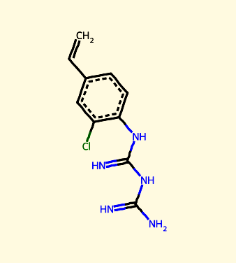 C=Cc1ccc(NC(=N)NC(=N)N)c(Cl)c1